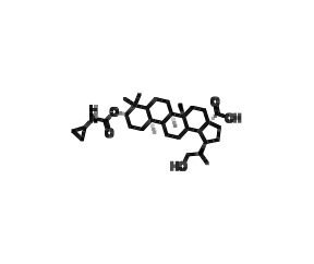 CC(CO)[C@@H]1CC[C@]2(C(=O)O)CC[C@]3(C)C(CCC4[C@@]5(C)CC[C@H](OC(=O)NC6CC6)C(C)(C)C5CC[C@]43C)C12